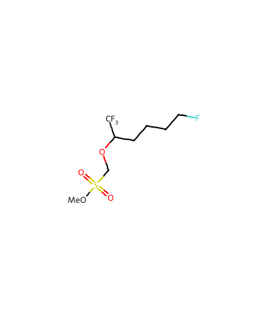 COS(=O)(=O)COC(CCCCF)C(F)(F)F